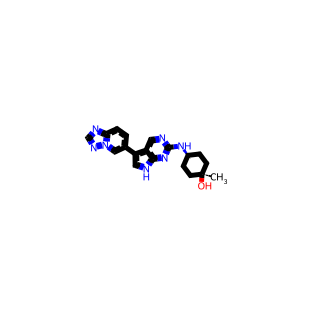 C[C@]1(O)CC[C@@H](Nc2ncc3c(-c4ccc5ncnn5c4)c[nH]c3n2)CC1